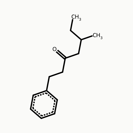 CCC(C)CC(=O)CCc1ccccc1